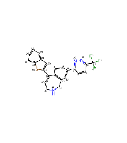 FC(F)(F)c1ccc(-c2ccc3c(c2)CNCC=C3c2cc3ccccc3s2)nn1